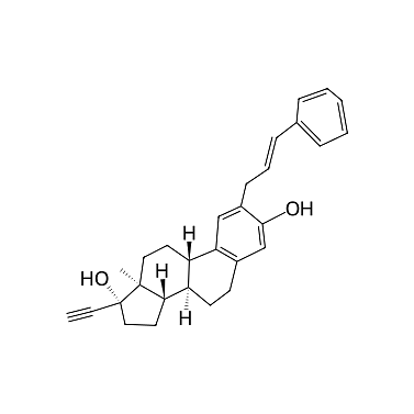 C#C[C@]1(O)CC[C@H]2[C@@H]3CCc4cc(O)c(C/C=C/c5ccccc5)cc4[C@H]3CC[C@@]21C